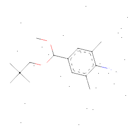 COC(OCC(C)(C)C)c1cc(C)c(N)c(C)c1